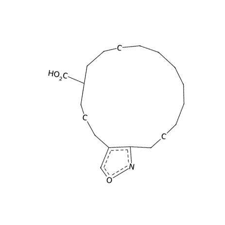 O=C(O)C1CCCCCCCCCCCc2nocc2CCC1